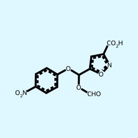 O=COC(Oc1ccc([N+](=O)[O-])cc1)c1cc(C(=O)O)no1